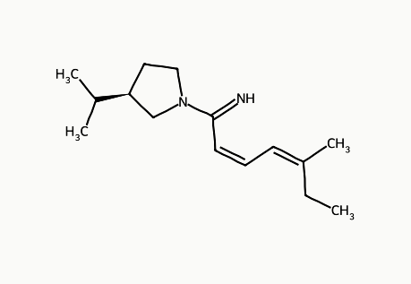 CC/C(C)=C\C=C/C(=N)N1CC[C@H](C(C)C)C1